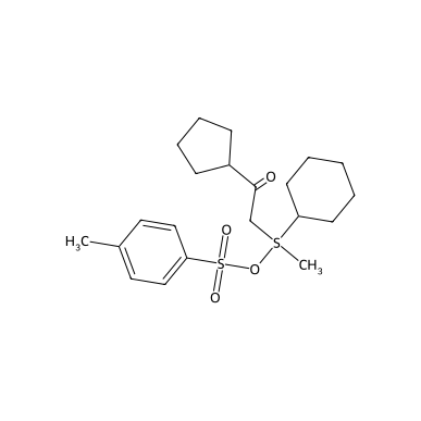 Cc1ccc(S(=O)(=O)OS(C)(CC(=O)C2CCCC2)C2CCCCC2)cc1